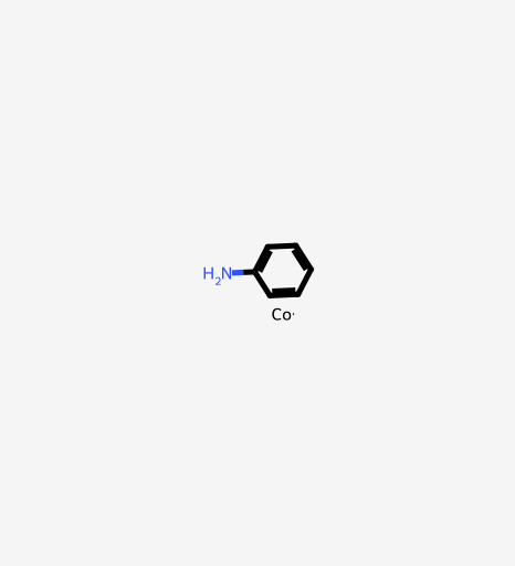 Nc1ccccc1.[Co]